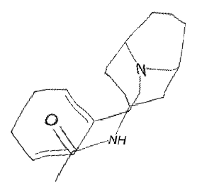 CC(=O)NC1CC2CCC(C1)N2CC1=CCCC=C1